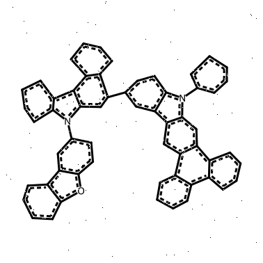 c1ccc(-n2c3ccc(-c4cc5c(c6ccccc46)c4ccccc4n5-c4ccc5oc6ccccc6c5c4)cc3c3cc4c5ccccc5c5ccccc5c4cc32)cc1